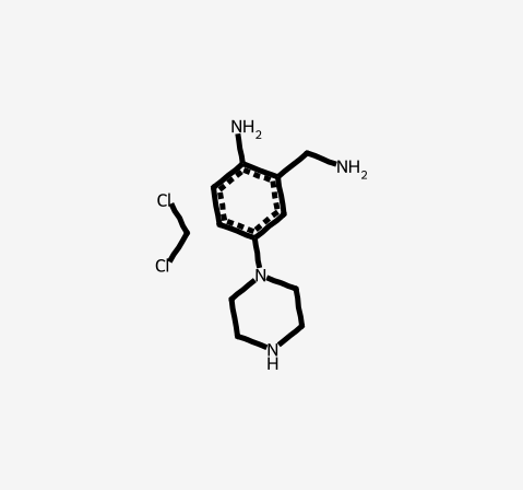 ClCCl.NCc1cc(N2CCNCC2)ccc1N